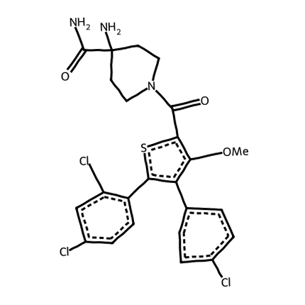 COc1c(C(=O)N2CCC(N)(C(N)=O)CC2)sc(-c2ccc(Cl)cc2Cl)c1-c1ccc(Cl)cc1